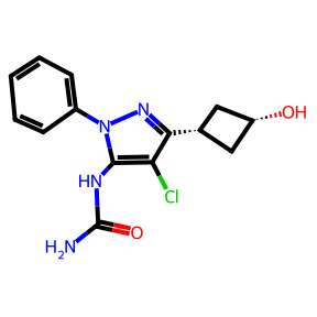 NC(=O)Nc1c(Cl)c([C@H]2C[C@@H](O)C2)nn1-c1ccccc1